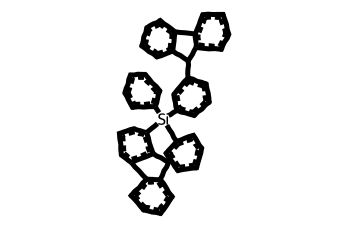 c1ccc([Si](c2ccccc2)(c2cccc(C3c4ccccc4-c4ccccc43)c2)c2cccc3c2Cc2ccccc2-3)cc1